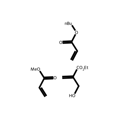 C=C(CO)C(=O)OCC.C=CC(=O)OC.C=CC(=O)OCCCC